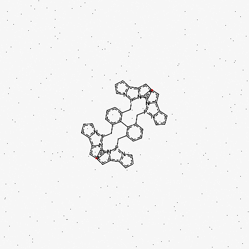 c1cc(Cp2n3cccc3c3cccn32)c(-c2c(Cp3n4cccc4c4cccn43)cccc2Cp2n3cccc3c3cccn32)c(Cp2n3cccc3c3cccn32)c1